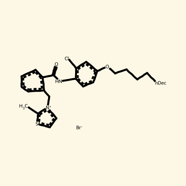 CCCCCCCCCCCCCCOc1ccc(NC(=O)c2ccccc2C[n+]2ccsc2C)c(Cl)c1.[Br-]